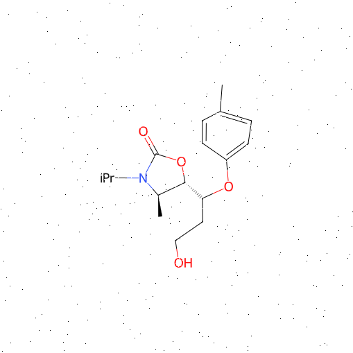 Cc1ccc(OC(CCO)[C@H]2OC(=O)N(C(C)C)[C@@H]2C)cc1